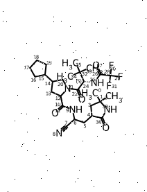 CC1(C)CC(CC(C#N)NC(=O)C2CC(C3CCCC3)CN2C(=O)[C@@H](NC(=O)C(F)(F)F)C(C)(C)C)C(=O)N1